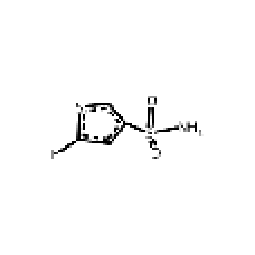 NS(=O)(=O)c1csc(F)c1